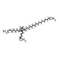 CCCCCCCCCCCCCCCCCn1cc[n+](CCCCCCC)c1CCCCC